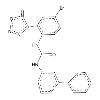 O=C(Nc1cccc(-c2ccccc2)c1)Nc1ccc(Br)cc1-c1nnn[nH]1